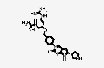 N=C(N)NCC[C@H](CNC(=N)N)OCc1ccc(-n2cc3cc([C@@H]4CCNC4)[nH]c3nc2=O)cc1